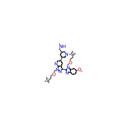 CNCc1cncc(-c2cnc3c(c2)c(-c2nc4ccc(OC)cc4n2COCC[Si](C)(C)C)nn3COCC[Si](C)(C)C)c1